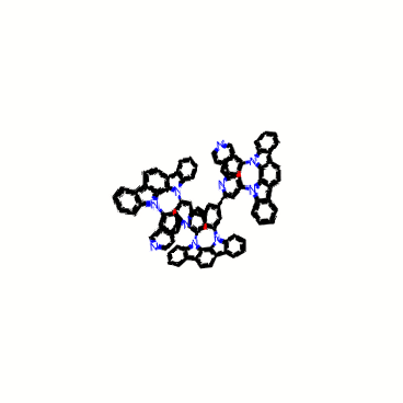 c1ccc(-n2c3ccccc3c3ccc4c5ccccc5n(-c5cc(-c6cc(-n7c8ccccc8c8ccc9c%10ccccc%10n(-c%10ccccc%10)c9c87)cc(-c7ccncc7)n6)cc(-c6cc(-n7c8ccccc8c8ccc9c%10ccccc%10n(-c%10ccccc%10)c9c87)cc(-c7ccncc7)n6)c5)c4c32)cc1